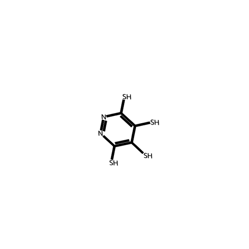 Sc1nnc(S)c(S)c1S